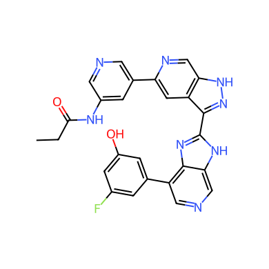 CCC(=O)Nc1cncc(-c2cc3c(-c4nc5c(-c6cc(O)cc(F)c6)cncc5[nH]4)n[nH]c3cn2)c1